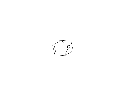 C1=CC2CC[C]1O2